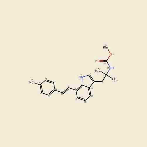 CC(C)(Cc1c[nH]c2c(/C=C/c3ccc(C#N)cc3)cccc12)NC(=O)OC(C)(C)C